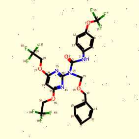 O=C(Nc1ccc(OC(F)(F)F)cc1)N(COCc1ccccc1)c1nc(OCC(F)(F)F)cc(OCC(F)(F)F)n1